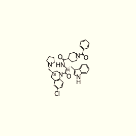 O=C(N[C@H](Cc1c[nH]c2ccccc12)C(=O)N1C[C@H](CN2CCCC2)Cc2cc(Cl)ccc21)C1CCN(C(=O)c2ccccc2)CC1